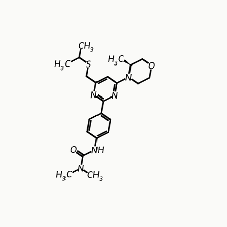 CC(C)SCc1cc(N2CCOC[C@@H]2C)nc(-c2ccc(NC(=O)N(C)C)cc2)n1